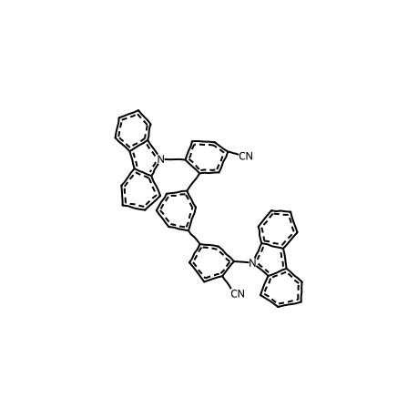 N#Cc1ccc(-n2c3ccccc3c3ccccc32)c(-c2cccc(-c3ccc(C#N)c(-n4c5ccccc5c5ccccc54)c3)c2)c1